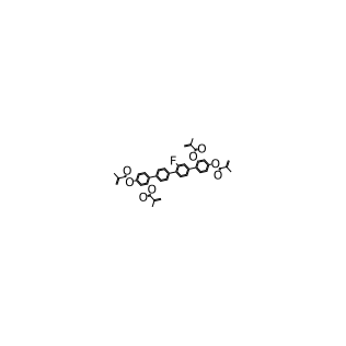 C=C(C)C(=O)Oc1ccc(-c2ccc(-c3ccc(-c4ccc(OC(=O)C(=C)C)cc4OC(=O)C(=C)C)cc3F)cc2)c(OC(=O)C(=C)C)c1